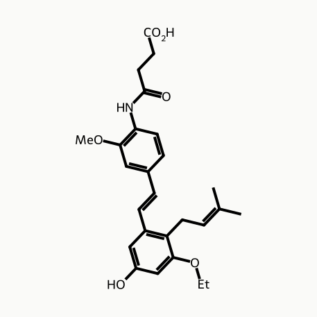 CCOc1cc(O)cc(C=Cc2ccc(NC(=O)CCC(=O)O)c(OC)c2)c1CC=C(C)C